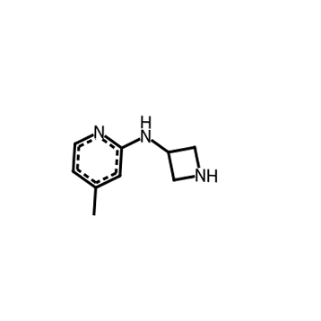 Cc1ccnc(NC2CNC2)c1